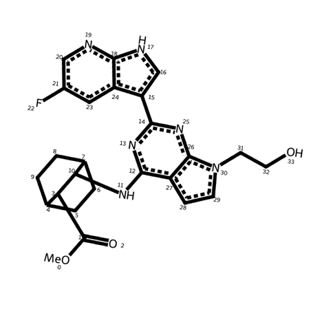 COC(=O)C1C2CCC(CC2)C1Nc1nc(-c2c[nH]c3ncc(F)cc23)nc2c1ccn2CCO